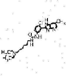 CCN(CC)CCCCCCNC(=O)Nc1ccc(Cl)c(-c2nc3ncc(C)cc3[nH]2)c1